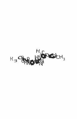 COC(=O)CCC(=O)Nc1ccc(-n2cc3ncnc(Nc4ccc(Oc5ccc(C)nc5)c(C)c4)c3n2)cc1